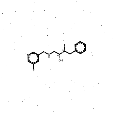 O[C@H](CNCc1cncc(F)c1)[C@@H](I)Cc1ccccc1